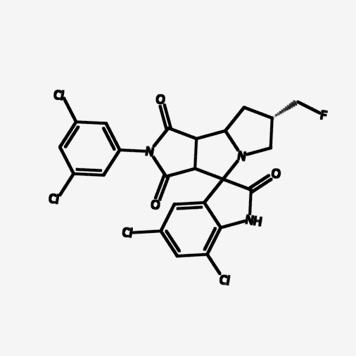 O=C1C2C3C[C@H](CF)CN3C3(C(=O)Nc4c(Cl)cc(Cl)cc43)C2C(=O)N1c1cc(Cl)cc(Cl)c1